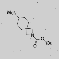 CNC1CCC2(CC1)CN(C(=O)OC(C)(C)C)C2